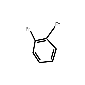 CCc1[c]cccc1C(C)C